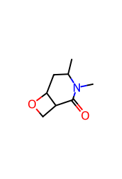 CC1CC2OCC2C(=O)N1C